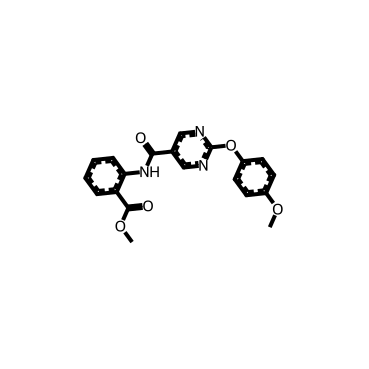 COC(=O)c1ccccc1NC(=O)c1cnc(Oc2ccc(OC)cc2)nc1